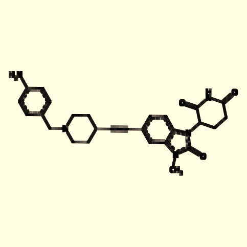 Cn1c(=O)n(C2CCC(=O)NC2=O)c2ccc(C#CC3CCN(Cc4ccc(N)cc4)CC3)cc21